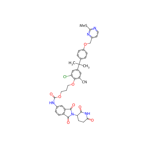 CSc1nccc(COc2ccc(C(C)(C)c3cc(Cl)c(OCCCOC(=O)Nc4ccc5c(c4)C(=O)N(C4CCC(=O)NC4=O)C5=O)c(C#N)c3)cc2)n1